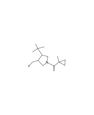 C=C(N1CC(CF)C(C(C)(C)C)C1)C1(C)CC1